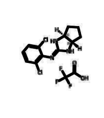 Clc1cccc(Cl)c1N=C1N[C@H]2CCC[C@@H]2N1.O=C(O)C(F)(F)F